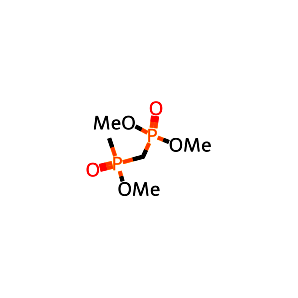 COP(C)(=O)CP(=O)(OC)OC